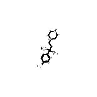 Cc1ccc(C(C)(C)CCN2CCOCC2)cc1